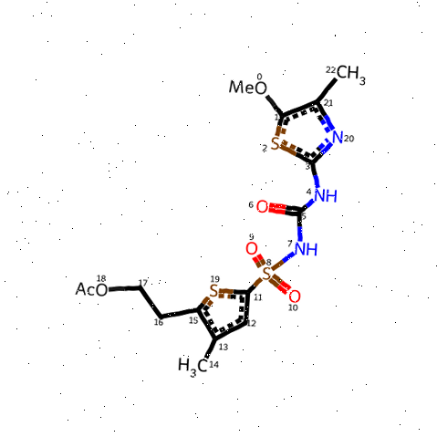 COc1sc(NC(=O)NS(=O)(=O)c2cc(C)c(CCOC(C)=O)s2)nc1C